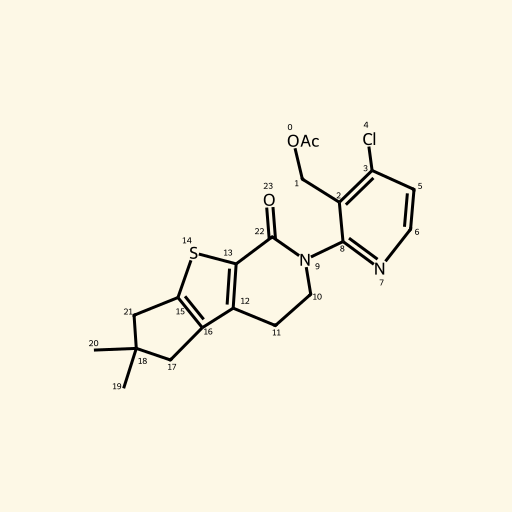 CC(=O)OCc1c(Cl)ccnc1N1CCc2c(sc3c2CC(C)(C)C3)C1=O